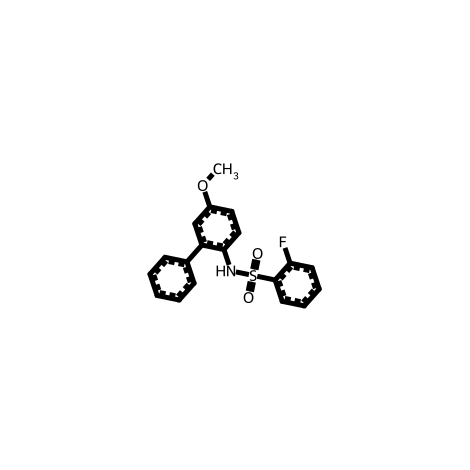 COc1ccc(NS(=O)(=O)c2ccccc2F)c(-c2ccccc2)c1